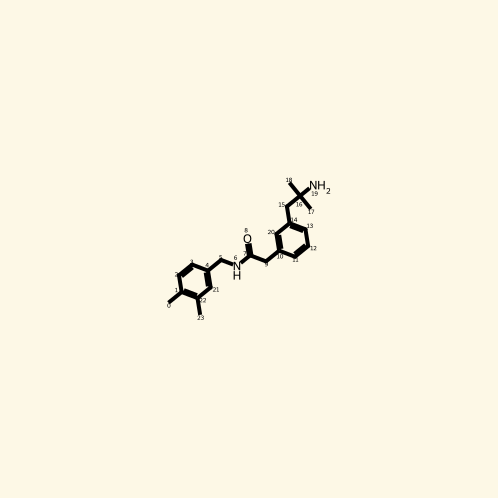 Cc1ccc(CNC(=O)Cc2cccc(CC(C)(C)N)c2)cc1C